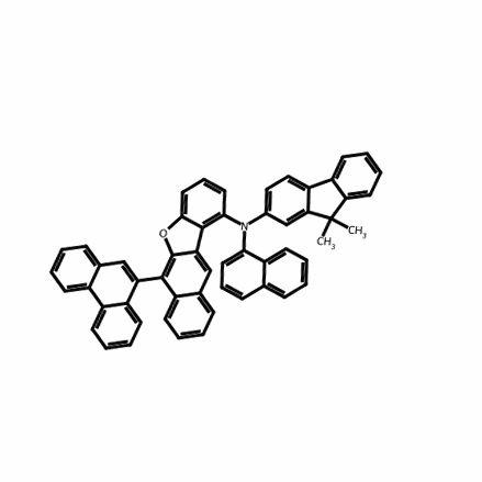 CC1(C)c2ccccc2-c2ccc(N(c3cccc4ccccc34)c3cccc4oc5c(-c6cc7ccccc7c7ccccc67)c6ccccc6cc5c34)cc21